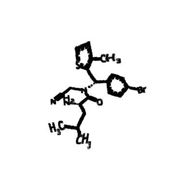 Cc1ccsc1[C@H](c1ccc(Br)cc1)N(CC#N)C(=O)[C@@H](N)CC(C)C